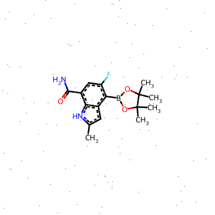 Cc1cc2c(B3OC(C)(C)C(C)(C)O3)c(F)cc(C(N)=O)c2[nH]1